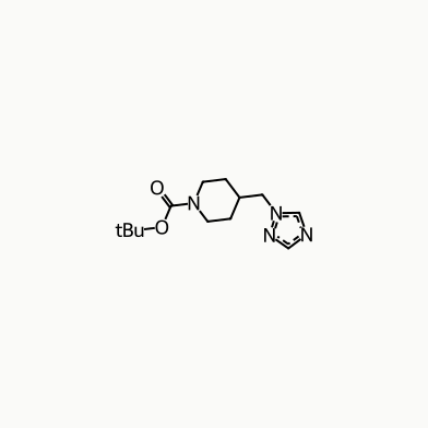 CC(C)(C)OC(=O)N1CCC(Cn2cncn2)CC1